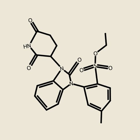 CCOS(=O)(=O)c1ccc(C)cc1-n1c(=O)n(C2CCC(=O)NC2=O)c2ccccc21